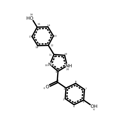 O=C(c1ccc(O)cc1)c1nc(-c2ccc(O)cc2)c[nH]1